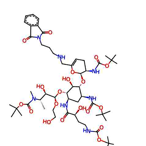 C[C@@H]([C@@H](O)[C@H](OCCO)O[C@@H]1[C@@H](O)[C@H](O[C@H]2OC(CNCCCN3C(=O)c4ccccc4C3=O)=CC[C@H]2NC(=O)OC(C)(C)C)[C@@H](NC(=O)OC(C)(C)C)C[C@H]1NC(=O)[C@@H](O)CCNC(=O)OC(C)(C)C)N(C)C(=O)OC(C)(C)C